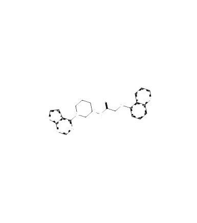 O=C(CNc1cccc2ncccc12)N[C@@H]1CCCN(c2ncnc3[nH]ccc23)C1